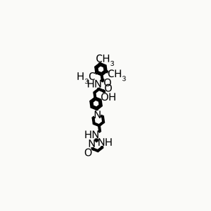 Cc1cc(C)c(C(=O)NC(Cc2ccc(N3CCC(CNC4=NC(=O)CCN4)CC3)cc2)C(=O)O)c(C)c1